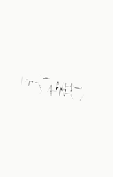 Brc1ccc(NNc2ccccc2)cc1